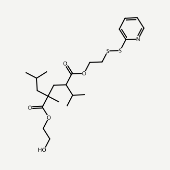 CC(C)CC(C)(CC(C(=O)OCCSSc1ccccn1)C(C)C)C(=O)OCCO